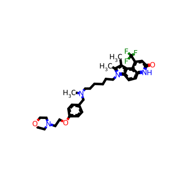 Cc1c(C)n(CCCCCCN(C)Cc2ccc(OCCN3CCOCC3)cc2)c2ccc3[nH]c(=O)cc(C(F)(F)F)c3c12